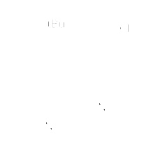 CC(C)(C)c1c(C(F)(F)F)cnc2[nH]ccc12